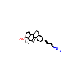 C[C@]12CC[C@H](C=CCCN)C=C1CCC1C2CC[C@@]2(C)C1CC[C@@H]2O